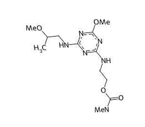 CNC(=O)OCCNc1nc(NCC(C)OC)nc(OC)n1